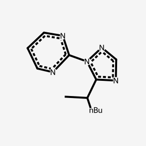 CCCCC(C)c1ncnn1-c1ncccn1